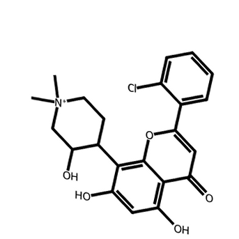 C[N+]1(C)CCC(c2c(O)cc(O)c3c(=O)cc(-c4ccccc4Cl)oc23)C(O)C1